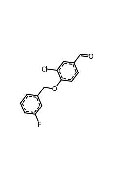 O=Cc1ccc(OCc2cccc(F)c2)c(Cl)c1